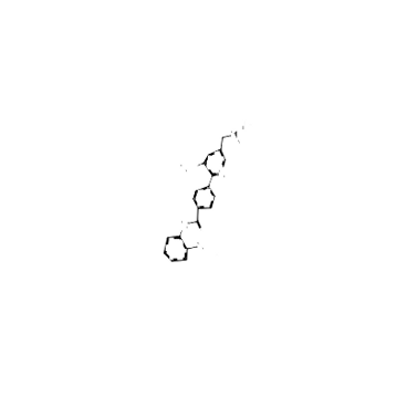 CCCN(CCC)Cc1cnc(-c2ccc(C(=O)Nc3ccccc3N)cc2)c(C#N)c1